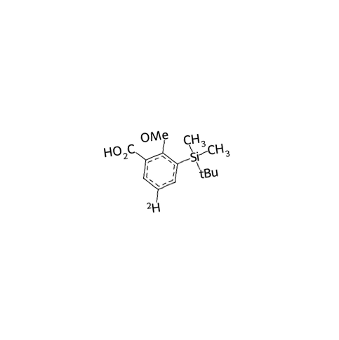 [2H]c1cc(C(=O)O)c(OC)c([Si](C)(C)C(C)(C)C)c1